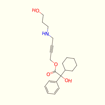 O=C(OCC#CCNCCCO)C(O)(c1ccccc1)C1CCCCC1